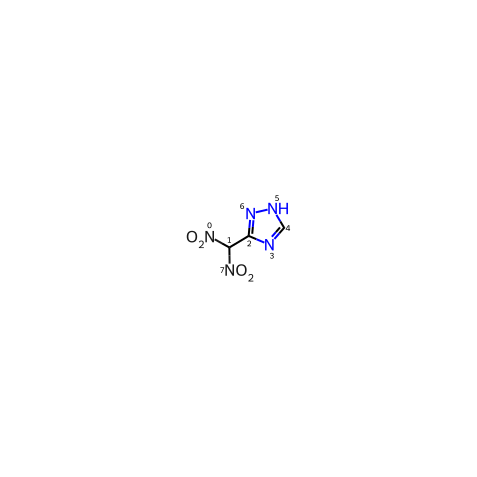 O=[N+]([O-])C(c1nc[nH]n1)[N+](=O)[O-]